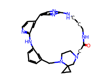 O=C1CN2CCN(Cc3cccc(c3)Nc3cc(ccn3)-c3cnc(nc3)NCCCN1)C1(CC1)C2